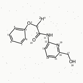 [2H]C(Oc1ccccc1)C(=O)Nc1cccc(CO)n1